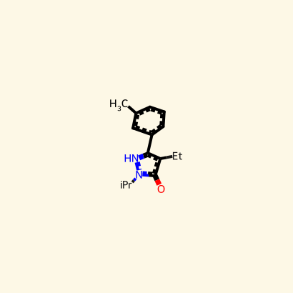 CCc1c(-c2cccc(C)c2)[nH]n(C(C)C)c1=O